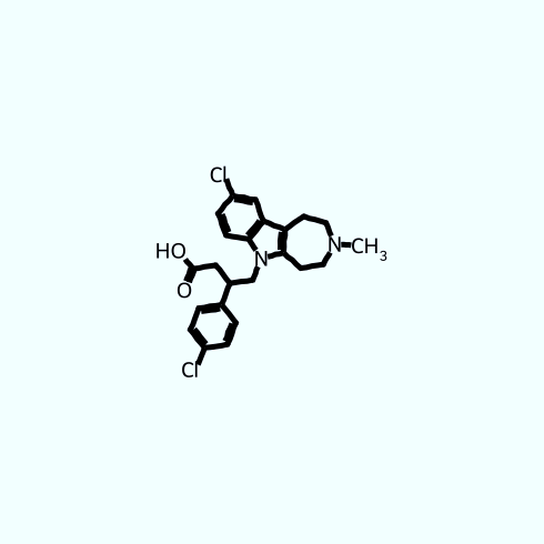 CN1CCc2c(n(CC(CC(=O)O)c3ccc(Cl)cc3)c3ccc(Cl)cc23)CC1